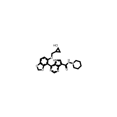 Cl.O=C(NN1CCCCC1)c1c[nH]c2c(-c3c(OCC4CC4)ccc4c3OCO4)ncnc12